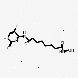 O=C(CCCCCCC(=O)Nc1nc(=O)[nH]cc1F)NO